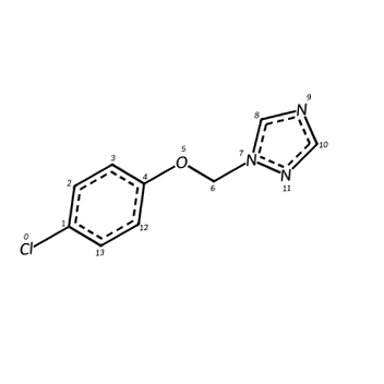 Clc1ccc(OCn2cncn2)cc1